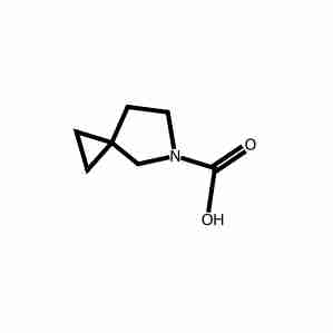 O=C(O)N1CCC2(CC2)C1